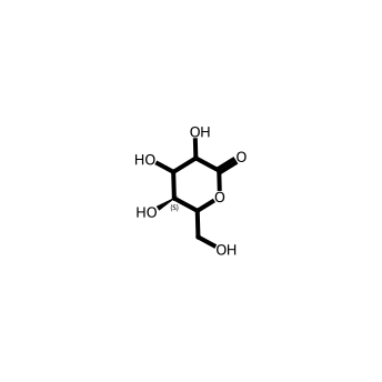 O=C1OC(CO)[C@@H](O)C(O)C1O